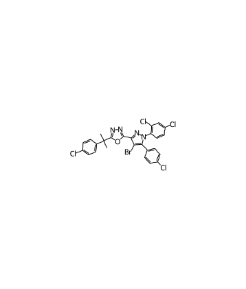 CC(C)(c1ccc(Cl)cc1)c1nnc(-c2nn(-c3ccc(Cl)cc3Cl)c(-c3ccc(Cl)cc3)c2Br)o1